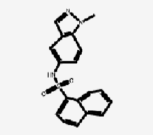 Cn1ncc2cc(NS(=O)(=O)c3cccc4ccccc34)ccc21